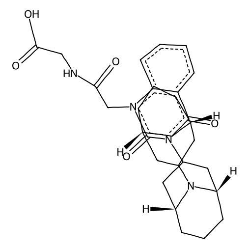 O=C(O)CNC(=O)Cn1c(=O)n(C2C[C@H]3CCC[C@@H](C2)N3C2C[C@H]3CCC[C@@H](C2)C3)c(=O)c2ccccc21